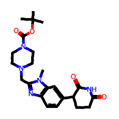 Cn1c(CN2CCN(C(=O)OC(C)(C)C)CC2)nc2ccc(C3CCC(=O)NC3=O)cc21